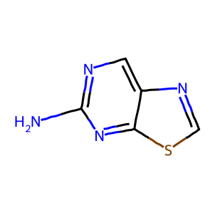 Nc1ncc2ncsc2n1